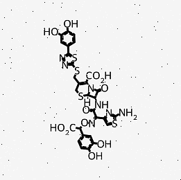 Nc1nc(/C(=N/OC(C(=O)O)c2ccc(O)c(O)c2)C(=O)N[C@@H]2C(=O)N3C(C(=O)O)=C(CSc4nnc(-c5ccc(O)c(O)c5)s4)CS[C@H]23)cs1